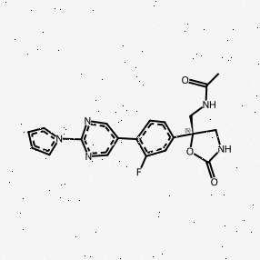 CC(=O)NC[C@@]1(c2ccc(-c3cnc(-n4cccc4)nc3)c(F)c2)CNC(=O)O1